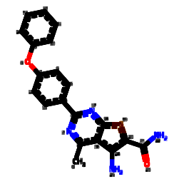 Cc1nc(-c2ccc(Oc3ccccc3)cc2)nc2sc(C(N)=O)c(N)c12